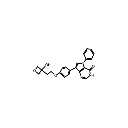 O=c1[nH]cnc2c(-c3ccc(OCCC4(O)COC4)cc3)cn(-c3ccccc3)c12